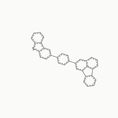 c1ccc2c(c1)-c1cccc3cc(-c4ccc(-c5ccc6sc7ccccc7c6c5)cc4)cc-2c13